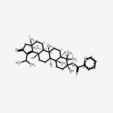 CC(C)C1=C2[C@H]3CC[C@@H]4[C@@]5(C)CC[C@@](O)(NC(=O)c6ccccn6)C(C)(C)[C@@H]5CC[C@@]4(C)[C@]3(C)CC[C@@]2(C)CC1=O